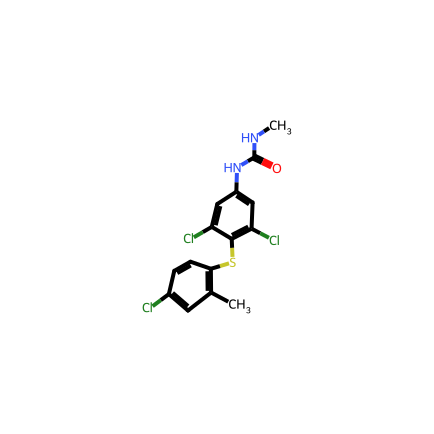 CNC(=O)Nc1cc(Cl)c(Sc2ccc(Cl)cc2C)c(Cl)c1